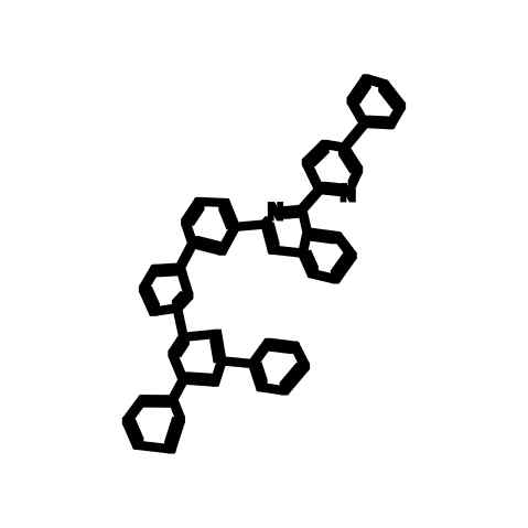 c1ccc(-c2ccc(-c3nc(-c4cccc(-c5cccc(-c6cc(-c7ccccc7)cc(-c7ccccc7)c6)c5)c4)cc4ccccc34)nc2)cc1